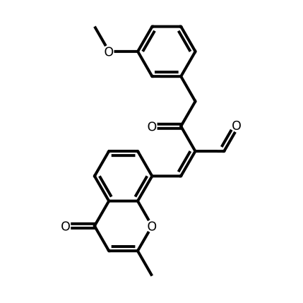 COc1cccc(CC(=O)C(C=O)=Cc2cccc3c(=O)cc(C)oc23)c1